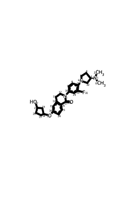 CN(C)[C@@H]1CCN(c2ccc(N3CCc4cc(OC5CCC(O)C5)ccc4C3=O)cc2F)C1